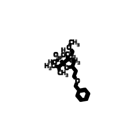 COCOCC(CCOCc1ccccc1)OC(C(C)C)(C(C)C)P(=O)(O)O